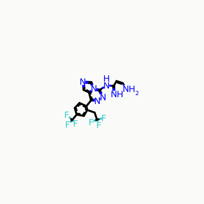 N=C(/C=C\N)Nc1nnc(-c2ccc(C(F)(F)F)cc2CC(F)(F)F)c2cncn12